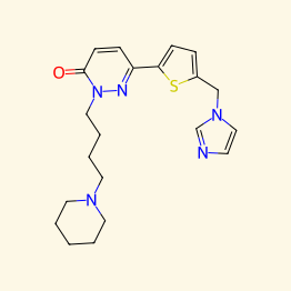 O=c1ccc(-c2ccc(Cn3ccnc3)s2)nn1CCCCN1CCCCC1